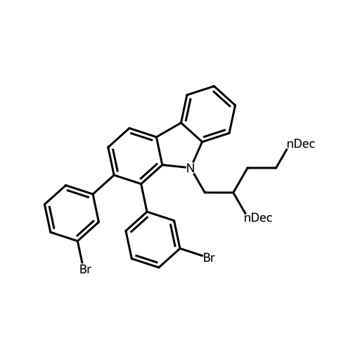 CCCCCCCCCCCCC(CCCCCCCCCC)Cn1c2ccccc2c2ccc(-c3cccc(Br)c3)c(-c3cccc(Br)c3)c21